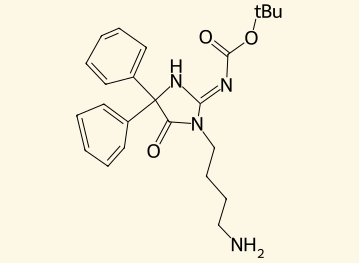 CC(C)(C)OC(=O)/N=C1\NC(c2ccccc2)(c2ccccc2)C(=O)N1CCCCN